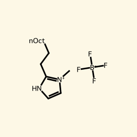 CCCCCCCCCCc1[nH]cc[n+]1C.F[B-](F)(F)F